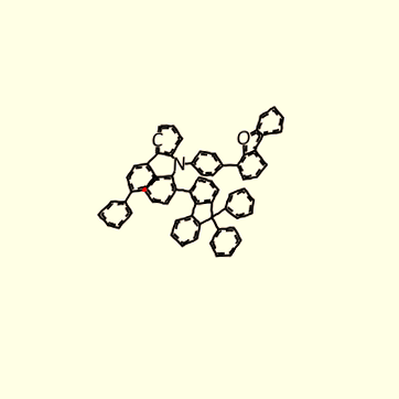 c1ccc(-c2ccc(-c3ccccc3N(c3ccc(-c4cccc5c4oc4ccccc45)cc3)c3ccccc3-c3cccc4c3-c3ccccc3C4(c3ccccc3)c3ccccc3)cc2)cc1